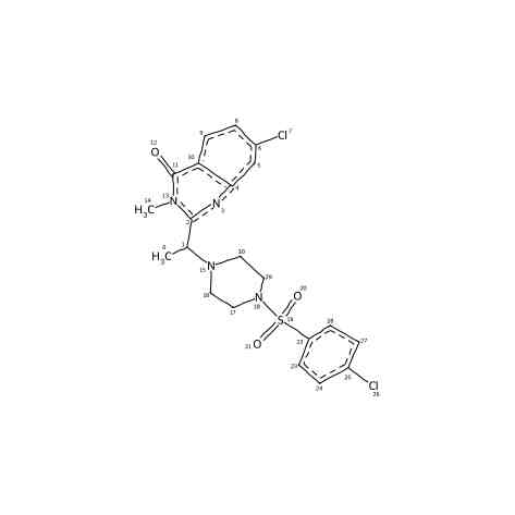 CC(c1nc2cc(Cl)ccc2c(=O)n1C)N1CCN(S(=O)(=O)c2ccc(Cl)cc2)CC1